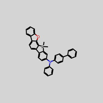 C[Si]1(C)c2cc(N(c3ccccc3)c3ccc(-c4ccccc4)cc3)ccc2-c2ccc3c(oc4ccccc43)c21